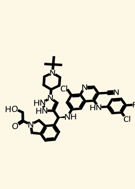 CC(C)(C)N1CCC(N2C=C([C@@H](Nc3cc(Cl)c4ncc(C#N)c(Nc5ccc(F)c(Cl)c5)c4c3)c3cccc4c3CN(C(=O)CO)C4)NN2)CC1